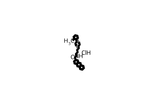 Cc1ccccc1N1CCN(CCCCNC(=O)c2ccc3cc4ccccc4cc3c2)CC1.Cl